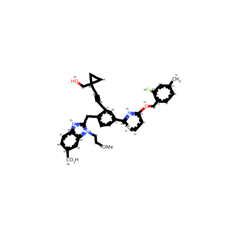 COCCn1c(Cc2ccc(-c3cccc(OCc4ccc(C)cc4F)n3)cc2C#CC2(CO)CC2)nc2ccc(C(=O)O)cc21